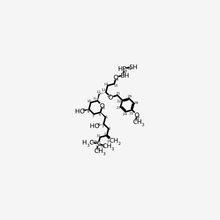 C=C(C[C@H](O)C[C@H]1C[C@@H](O)C[C@@H](C[C@H](CCOBPS)OCc2ccc(OC)cc2)O1)C[Si](C)(C)C